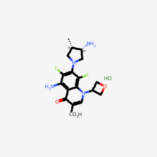 C[C@H]1CN(c2c(F)c(N)c3c(=O)c(C(=O)O)cn(C4COC4)c3c2F)C[C@H]1N.Cl